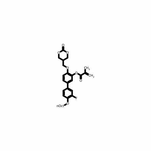 C=C(C)C(=O)Oc1cc(-c2ccc(OCCCCCCCC)c(F)c2)ccc1OCC1COC(=O)OC1